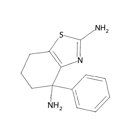 Nc1nc2c(s1)CCCC2(N)c1ccccc1